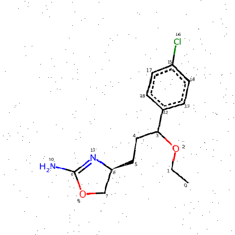 CCOC(CC[C@H]1COC(N)=N1)c1ccc(Cl)cc1